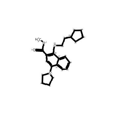 COC(=O)c1cc([S+]2CCCC2)c2ccccc2c1OCCC1CCCC1